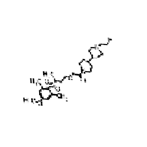 COc1cc(C)c(S(=O)(=O)N(C)CCOCC(=O)N2CCC(C3CCN(CCF)CC3)CC2)c(C)c1